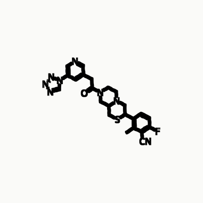 Cc1c(C2CN3CCN(C(=O)Cc4cncc(-n5cnnn5)c4)CC3CS2)ccc(F)c1C#N